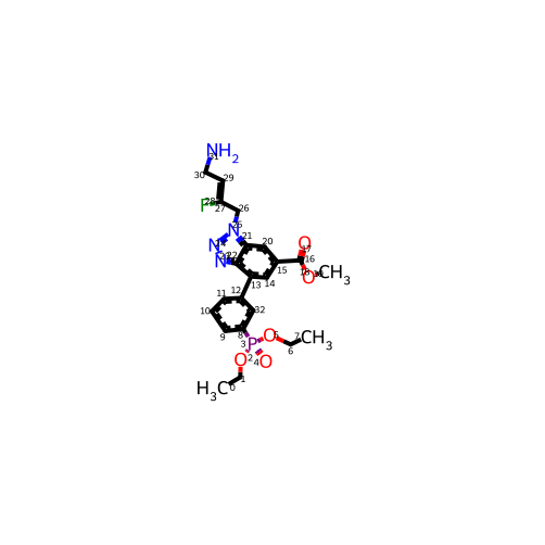 CCOP(=O)(OCC)c1cccc(-c2cc(C(=O)OC)cc3c2nnn3C/C(F)=C/CN)c1